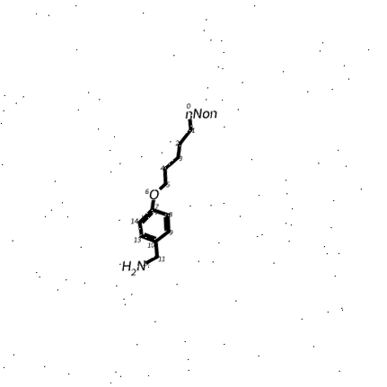 CCCCCCCCCCCCCCOc1ccc(CN)cc1